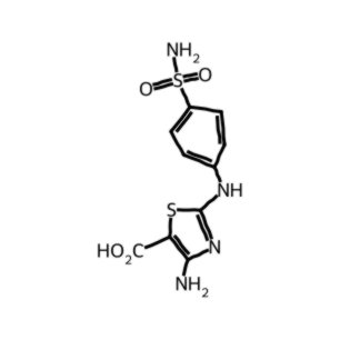 Nc1nc(Nc2ccc(S(N)(=O)=O)cc2)sc1C(=O)O